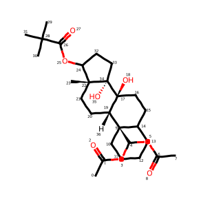 CC(=O)OC(OC(C)=O)[C@]12CCCCC1CC[C@]1(O)[C@H]2CC[C@]2(C)C(OC(=O)C(C)(C)C)CC[C@]21O